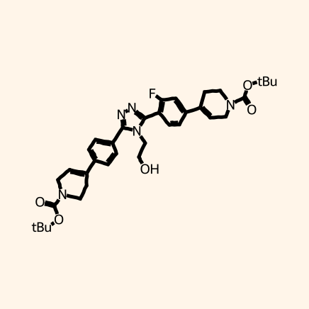 CC(C)(C)OC(=O)N1CC=C(c2ccc(-c3nnc(-c4ccc(C5=CCN(C(=O)OC(C)(C)C)CC5)cc4F)n3CCO)cc2)CC1